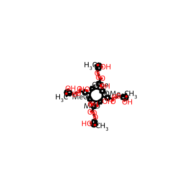 COc1cc(O)c2cc1C(c1ccc(C(=O)OCOC34CC5CC(C)(CC(O)(C5)C3)C4)cc1)c1cc(c(OC)cc1O)C(c1ccc(C(=O)OCOC34CC5CC(C)(CC(O)(C5)C3)C4)cc1)c1cc(c(OC)cc1O)C(c1ccc(C(=O)OCOC34CC5CC(C)(CC(O)(C5)C3)C4)cc1)c1cc(c(OC)cc1O)C2c1ccc(C(=O)OCOC23CC4CC(C)(CC(O)(C4)C2)C3)cc1